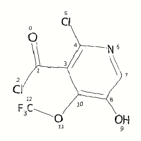 O=C(Cl)c1c(Cl)ncc(O)c1OC(F)(F)F